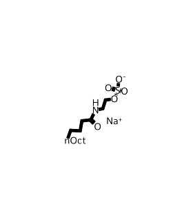 CCCCCCCCCCCC(=O)NCCOS(=O)(=O)[O-].[Na+]